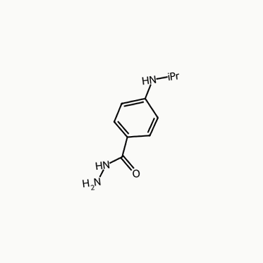 CC(C)Nc1ccc(C(=O)NN)cc1